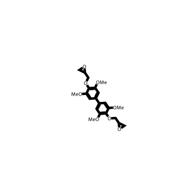 COc1cc(-c2cc(OC)c(OCC3CO3)c(OC)c2)cc(OC)c1OCC1CO1